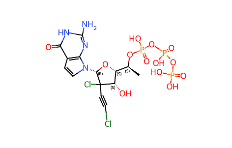 C[C@H](OP(=O)(O)OP(=O)(O)OP(=O)(O)O)[C@H]1O[C@@H](n2ccc3c(=O)[nH]c(N)nc32)C(Cl)(C#CCl)[C@H]1O